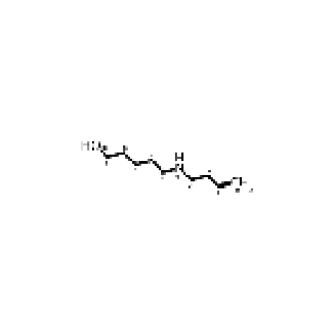 C=CCCNCCCCCO